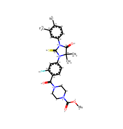 CC(C)(C)OC(=O)N1CCN(C(=O)c2ccc(N3C(=S)N(c4ccc(C#N)c(C(F)(F)F)c4)C(=O)C3(C)C)cc2F)CC1